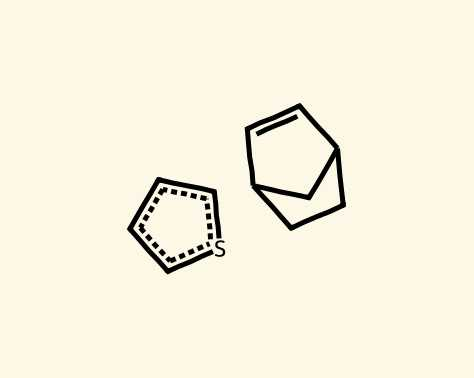 C1=CC2CCC1C2.c1ccsc1